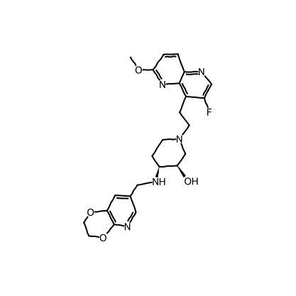 COc1ccc2ncc(F)c(CCN3CC[C@H](NCc4cnc5c(c4)OCCO5)[C@H](O)C3)c2n1